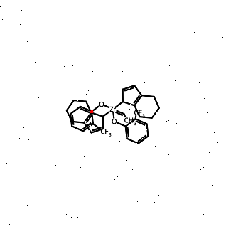 C[CH]=[Zr]([O]c1ccccc1C(F)(F)F)([O]c1ccccc1C(F)(F)F)([CH]1C=CC2=C1CCCC2)[CH]1C=CC2=C1CCCC2